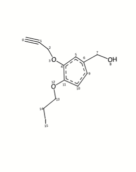 C#CCOc1cc(CO)ccc1OCCI